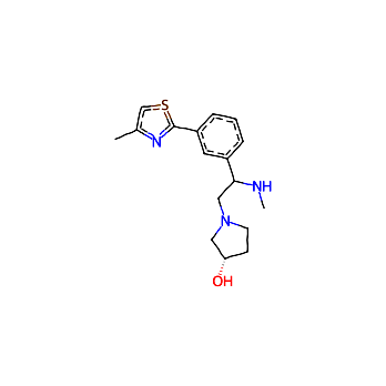 CNC(CN1CC[C@H](O)C1)c1cccc(-c2nc(C)cs2)c1